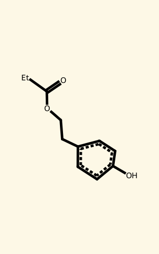 CCC(=O)OCCc1ccc(O)cc1